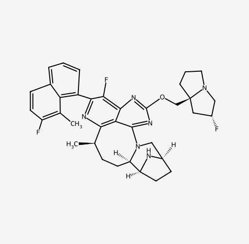 Cc1c(F)ccc2cccc(-c3nc4c5c(nc(OC[C@@]67CCCN6C[C@H](F)C7)nc5c3F)N3C[C@H]5CC[C@H](N5)[C@H]3CC[C@H]4C)c12